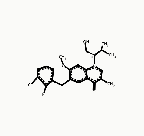 COc1cc2c(cc1Cc1cccc(Cl)c1F)c(=O)c(C)cn2[C@@H](CO)C(C)C